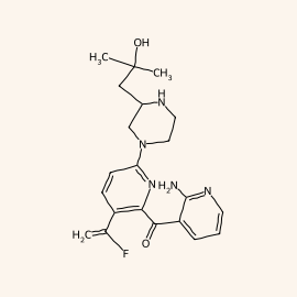 C=C(F)c1ccc(N2CCNC(CC(C)(C)O)C2)nc1C(=O)c1cccnc1N